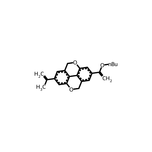 C=C(C)c1cc2c3c(c1)OCc1cc(C(=C)OCCCC)cc(c1-3)OC2